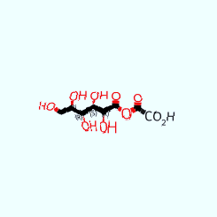 O=C(O)C(=O)OC(=O)[C@H](O)[C@@H](O)[C@H](O)[C@H](O)CO